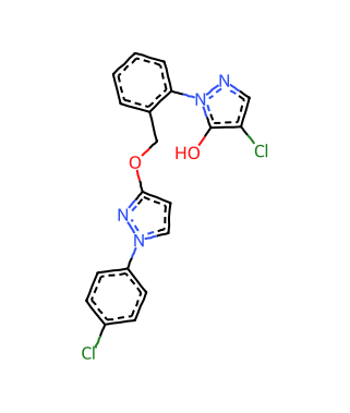 Oc1c(Cl)cnn1-c1ccccc1COc1ccn(-c2ccc(Cl)cc2)n1